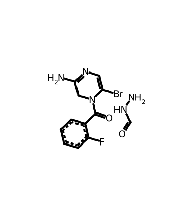 NC1=NC=C(Br)N(C(=O)c2ccccc2F)C1.NNC=O